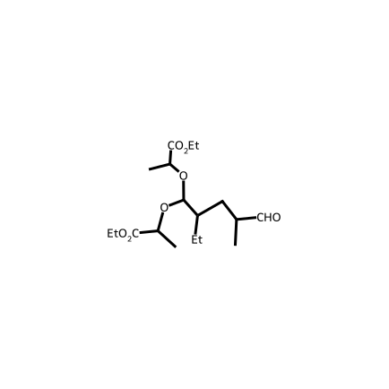 CCOC(=O)C(C)OC(OC(C)C(=O)OCC)C(CC)CC(C)C=O